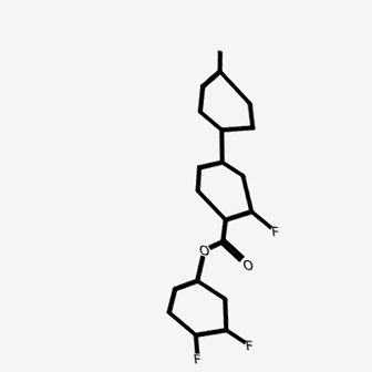 CC1CCC(C2CCC(C(=O)OC3CCC(F)C(F)C3)C(F)C2)CC1